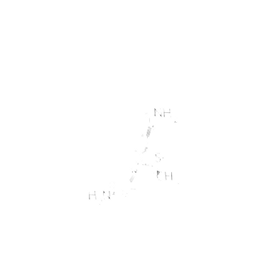 Cc1sc(C#CCN)cc1C#CCCN